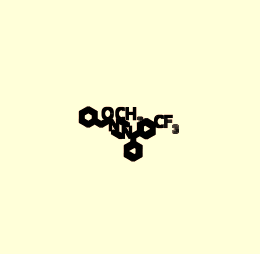 CC1CN(C(c2ccccc2)c2ccc(C(F)(F)F)cc2)CCN1C(=O)CC1CCCCC1